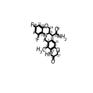 Cc1c(CN2c3c(F)cc(F)cc3OCC2CC(N)=O)ccc2c1NC(=O)CO2